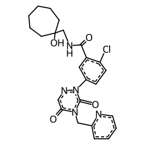 O=C(NCC1(O)CCCCCC1)c1cc(-n2ncc(=O)n(Cc3ccccn3)c2=O)ccc1Cl